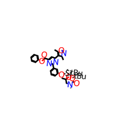 Cc1noc(C)c1-c1cc(C(=O)Oc2ccccc2)nc(-c2cccc(OCC(CN(C)C(=O)OC(C)(C)C)O[Si](C)(C)C(C)(C)C)c2)n1